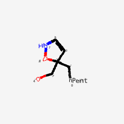 CCCCCCC1(C[O])C=CNO1